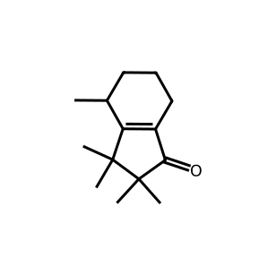 CC1CCCC2=C1C(C)(C)C(C)(C)C2=O